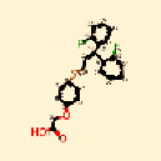 O=C(O)COc1ccc(SCC=C(c2ccccc2F)c2ccccc2F)cc1